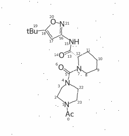 CC(=O)N1CCN(C(=O)N2CCCC[C@H]2C(=O)Nc2cc(C(C)(C)C)on2)CC1